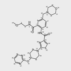 COCCNC(=O)c1cc(CN2CCOCC2)ccc1NC(=O)c1csc(N2CCC(Oc3ncccn3)CC2)n1